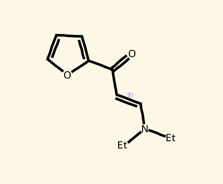 CCN(/C=C/C(=O)c1ccco1)CC